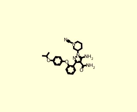 CC(C)Oc1ccc(Oc2ccccc2-c2nn(C3CCCN(C#N)C3)c(N)c2C(N)=O)cc1